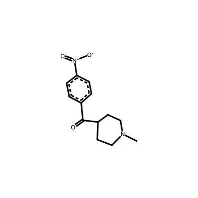 CN1CCC(C(=O)c2ccc([N+](=O)[O-])cc2)CC1